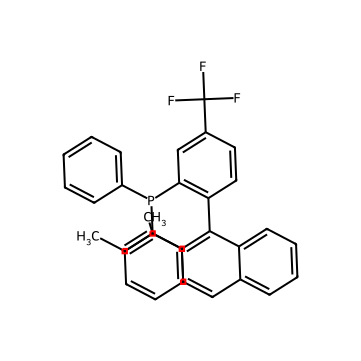 C/C=C(\C)c1ccc2ccccc2c1-c1ccc(C(F)(F)F)cc1P(c1ccccc1)c1ccccc1